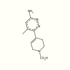 Cc1cc(N)nnc1C1=CCN(C(=O)O)CC1